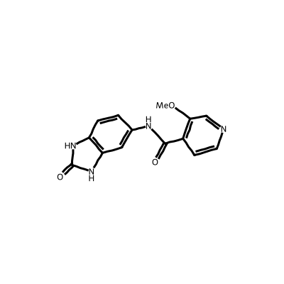 COc1cnccc1C(=O)Nc1ccc2[nH]c(=O)[nH]c2c1